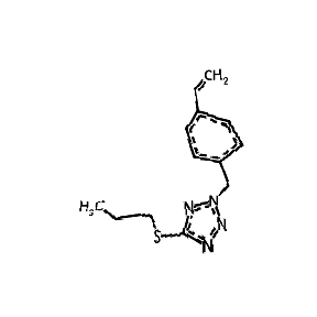 C=Cc1ccc(Cn2nnc(SCCC)n2)cc1